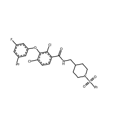 CC(C)c1cc(F)cc(Oc2c(Cl)ccc(C(=O)NCC3CCN(S(=O)(=O)C(C)C)CC3)c2Cl)c1